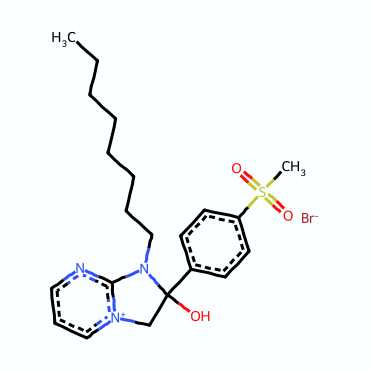 CCCCCCCCN1c2nccc[n+]2CC1(O)c1ccc(S(C)(=O)=O)cc1.[Br-]